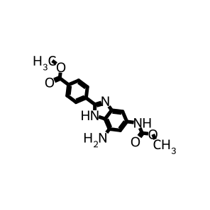 COC(=O)Nc1cc(N)c2[nH]c(-c3ccc(C(=O)OC)cc3)nc2c1